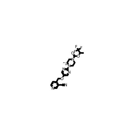 CC(OC(=O)N1CCN(c2ncc(OCc3ccncc3C#N)cn2)[C@H](C)C1)C(F)(F)F